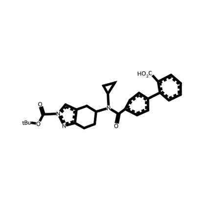 CC(C)(C)OC(=O)n1cc2c(n1)CCC(N(C(=O)c1ccc(-c3ccccc3C(=O)O)cc1)C1CC1)C2